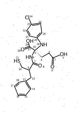 O=C(O)CC[C@@](NC(=O)C(CS)Cc1ccccc1)(Nc1ccc(Cl)cc1)C(=O)O